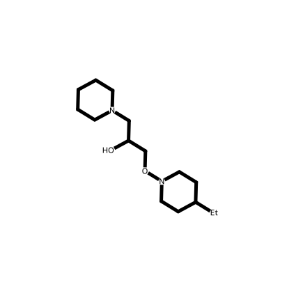 CCC1CCN(OCC(O)CN2CCCCC2)CC1